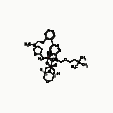 COCOc1ccccc1-c1cc2c(CC3CCCO3)c(C3=C[C@H]4COC[C@@H](C3)N4C(=O)OC(C)(C)C)n(COCC[Si](C)(C)C)c2nn1